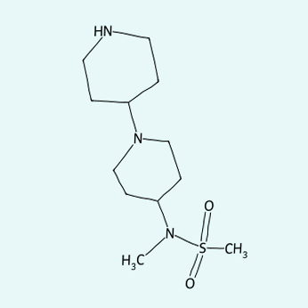 CN(C1CCN(C2CCNCC2)CC1)S(C)(=O)=O